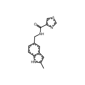 Cc1cc2cc(CNC(=O)c3cscn3)ccc2[nH]1